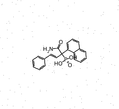 NC(=O)C(/C=C/c1ccccc1)(c1cccc2ccccc12)P(=O)(O)O